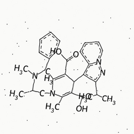 CC1=C(C(=O)O)C(c2c(C(C)C)nn3ccccc23)C(C(=O)O)=C(C)N1CC(C)N(C)Cc1ccccc1